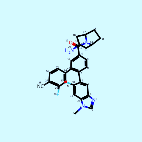 Cn1cnc2cc(-c3ccc(C(=O)N4C5CCC4CC(N)C5)cc3-c3ccc(C#N)c(F)c3)c(F)cc21